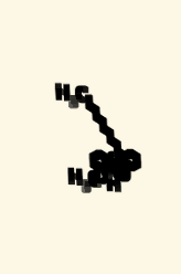 CCCCCCCCCCCc1ccccc1S(=O)(=O)Nc1ccccc1OC